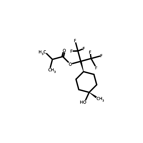 CC(C)C(=O)OC([C@H]1CC[C@](C)(O)CC1)(C(F)(F)F)C(F)(F)F